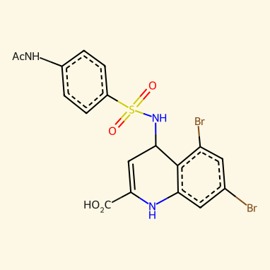 CC(=O)Nc1ccc(S(=O)(=O)NC2C=C(C(=O)O)Nc3cc(Br)cc(Br)c32)cc1